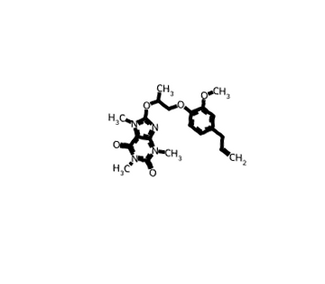 C=CCc1ccc(OCC(C)Oc2nc3c(c(=O)n(C)c(=O)n3C)n2C)c(OC)c1